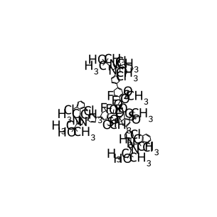 CC(C)(O)c1cn(-c2ccc(C3=CC(S(C)(=O)=O)=C(COP(=O)(OCC4=C(S(C)(=O)=O)C=C(c5ccc(-n6cc(C(C)(C)O)nc6C(C)(C)c6c(Cl)cccc6Cl)cc5)CC4(F)F)OCC4=C(S(C)(=O)=O)C=C(c5ccc(-n6cc(C(C)(C)O)nc6C(C)(C)c6c(Cl)cccc6Cl)cc5)CC4(F)F)C(F)(F)C3)cc2)c(C(C)(C)c2c(Cl)cccc2Cl)n1